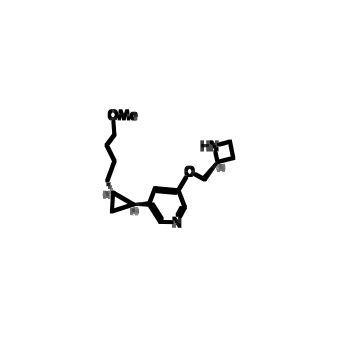 COCCCC[C@H]1C[C@@H]1c1cncc(OC[C@@H]2CCN2)c1